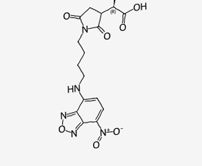 O=C(O)[C@H](O)C1CC(=O)N(CCCCNc2ccc([N+](=O)[O-])c3nonc23)C1=O